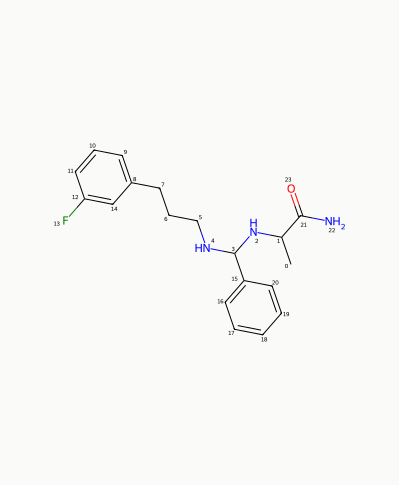 CC(NC(NCCCc1cccc(F)c1)c1ccccc1)C(N)=O